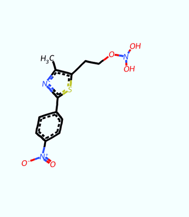 Cc1nc(-c2ccc([N+](=O)[O-])cc2)sc1CCON(O)O